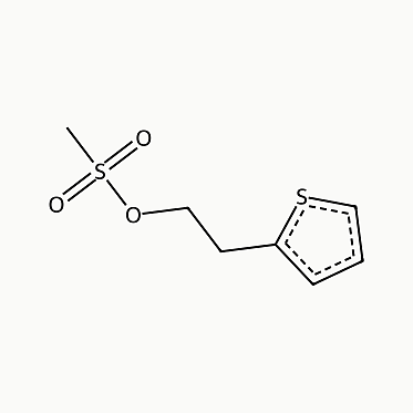 CS(=O)(=O)OCCc1cccs1